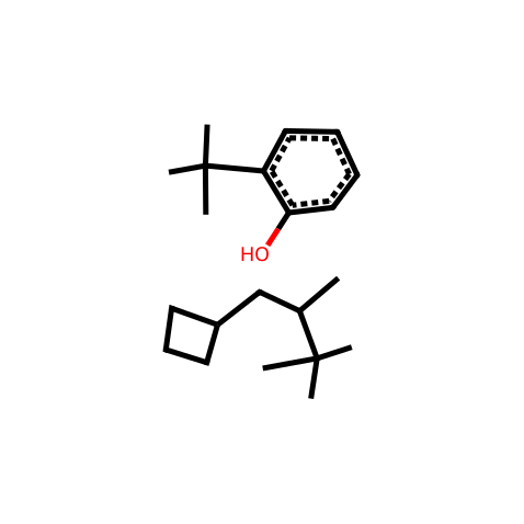 CC(C)(C)c1ccccc1O.CC(CC1CCC1)C(C)(C)C